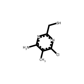 Cc1c(N)nc(CS)nc1Cl